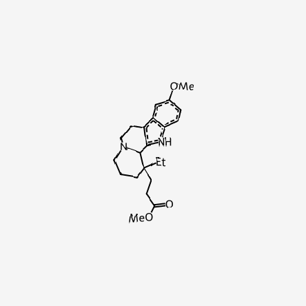 CCC1(CCC(=O)OC)CCCN2CCc3c([nH]c4ccc(OC)cc34)C21